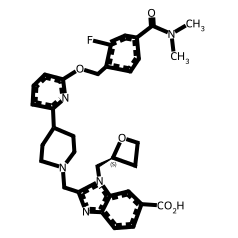 CN(C)C(=O)c1ccc(COc2cccc(C3CCN(Cc4nc5ccc(C(=O)O)cc5n4C[C@@H]4CCO4)CC3)n2)c(F)c1